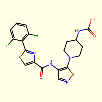 O=C(O)NC1CCN(c2sncc2NC(=O)c2csc(-c3c(F)cccc3F)n2)CC1